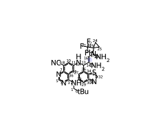 CC(C)(C)CNc1ncnc2c(C#N)cc(NC(/C(N)=C/N(N)C3(C(F)(F)P)CC3)c3cccc4ncsc34)cc12